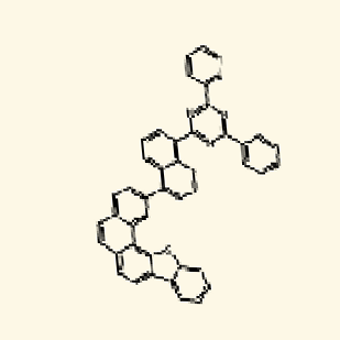 c1ccc(-c2nc(-c3ccccc3)nc(-c3cccc4c(-c5ccc6ccc7ccc8c9ccccc9sc8c7c6c5)cccc34)n2)cc1